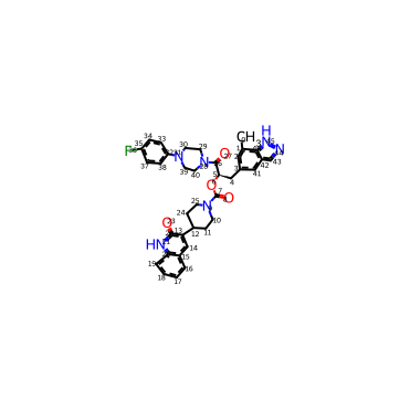 Cc1cc(C[C@@H](OC(=O)N2CCC(c3cc4ccccc4[nH]c3=O)CC2)C(=O)N2CCN(c3ccc(F)cc3)CC2)cc2cn[nH]c12